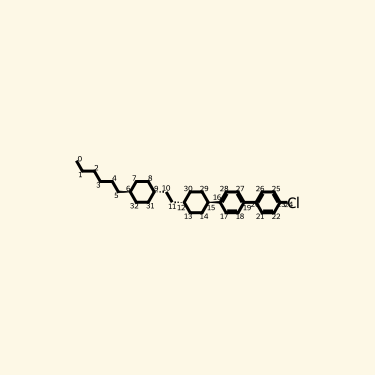 CCCCCC[C@H]1CC[C@H](CC[C@H]2CC[C@H](c3ccc(-c4ccc(Cl)cc4)cc3)CC2)CC1